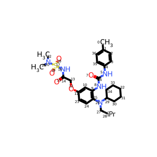 Cc1ccc(NC(=O)Nc2cc(OCC(=O)NS(=O)(=O)N(C)C)ccc2N(CC(C)C)C2CCCCC2)cc1